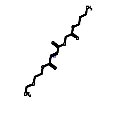 CCCCOC(=O)COC(=O)/C=C/C(=O)OCCOCC